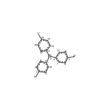 Cc1cc[c]([Bi]([c]2ccc(C)cc2)[c]2ccc(C)cc2)cc1